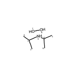 CC(C)NC(C)C.OO